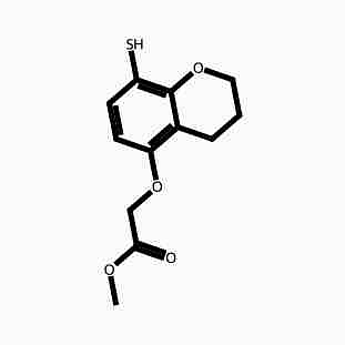 COC(=O)COc1ccc(S)c2c1CCCO2